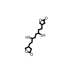 O=C1CC(CCC(S)CCC(S)CCC2COC(=O)C2)CO1